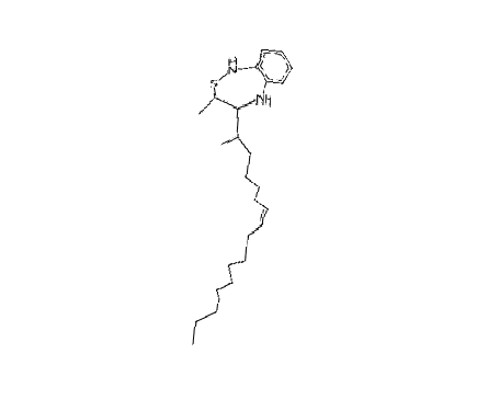 CCCCCCCC/C=C\CCCCC(C)C1Nc2ccccc2NSC1C